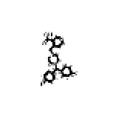 O=C(O)c1cnccc1CN1CCN(C(c2ccc(F)cc2)c2ccc(F)cc2)CC1